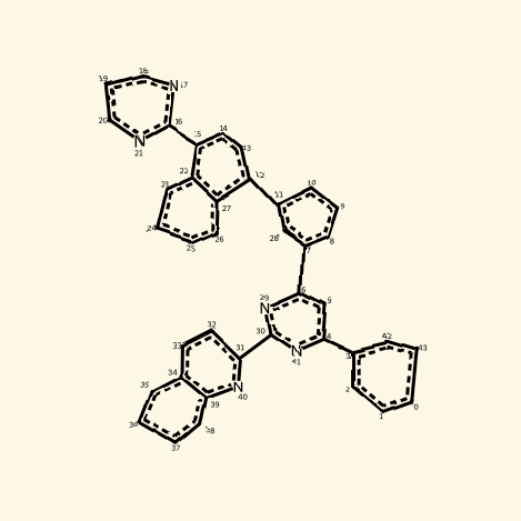 c1ccc(-c2cc(-c3cccc(-c4ccc(-c5ncccn5)c5ccccc45)c3)nc(-c3ccc4ccccc4n3)n2)cc1